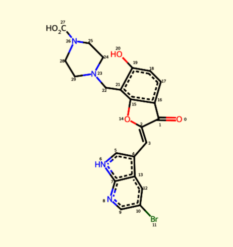 O=C1/C(=C/c2c[nH]c3ncc(Br)cc23)Oc2c1ccc(O)c2CN1CCN(C(=O)O)CC1